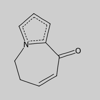 O=C1C=CCCn2cccc21